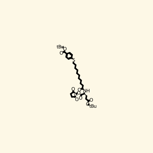 CC(C)(C)OC(=O)CC[C@H](NC(=O)CCCCCCCCCCSc1ccc(C(=O)OC(C)(C)C)cc1)C(=O)ON1C(=O)CCC1=O